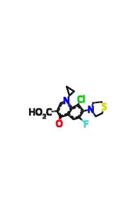 O=C(O)c1cn(C2CC2)c2c(Cl)c(N3CCSCC3)c(F)cc2c1=O